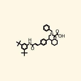 CC(C)(C)c1cc(NC(=O)C=Cc2ccc(C(CN(Cc3ccccc3)C(=O)C(=O)O)C3CCCCC3)cc2)cc(C(C)(C)C)c1